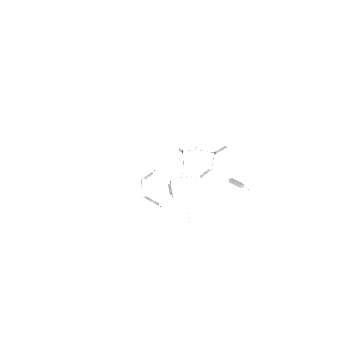 COc1ccc(-n2cc(C#N)c(=O)[nH]c2=O)c(OC)c1